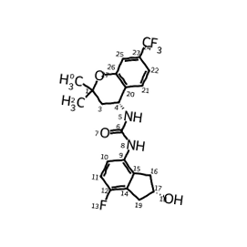 CC1(C)C[C@@H](NC(=O)Nc2ccc(F)c3c2C[C@H](O)C3)c2ccc(C(F)(F)F)cc2O1